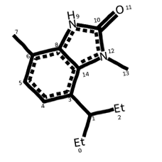 CCC(CC)c1ccc(C)c2[nH]c(=O)n(C)c12